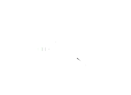 CC(c1ccccc1)(c1ccc([C@H]2C=CCC2)cc1)c1ccccc1Cl